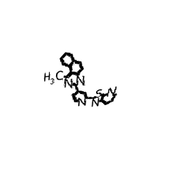 Cc1nc(-c2ccnc(-c3nc4cccnc4s3)c2)nc2ccc3ccccc3c12